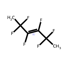 CC(F)(F)/C(F)=C(\F)C(C)(F)F